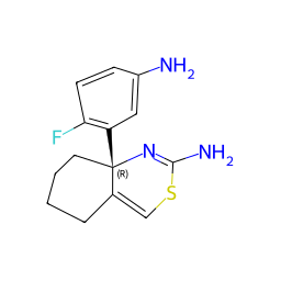 NC1=N[C@@]2(c3cc(N)ccc3F)CCCCC2=CS1